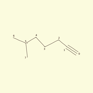 C#CCCC[C](C)C